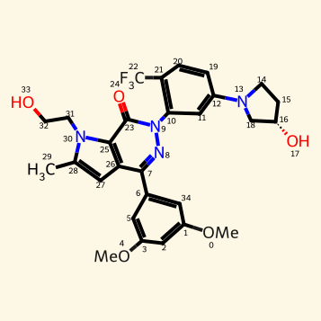 COc1cc(OC)cc(-c2nn(-c3cc(N4CC[C@H](O)C4)ccc3C(F)(F)F)c(=O)c3c2cc(C)n3CCO)c1